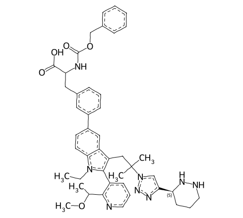 CCn1c(-c2cccnc2C(C)OC)c(CC(C)(C)n2cc([C@@H]3CCCNN3)nn2)c2cc(-c3cccc(CC(NC(=O)OCc4ccccc4)C(=O)O)c3)ccc21